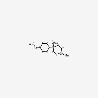 CCCCOC1CCC(C2(OC)CCC(CCCC)CC2)CC1